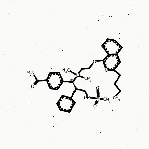 CCCCc1cc2ccccc2c(OCC[N+](C)(C)[C@H](c2ccc(C(N)=O)cc2)C(CNS(C)(=O)=O)c2ccccc2)n1